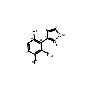 Fc1ccc(F)c(-c2ccon2)c1F